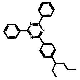 CCCC(CC)c1ccc(-c2nc(-c3ccccc3)nc(-c3ccccc3)n2)cc1